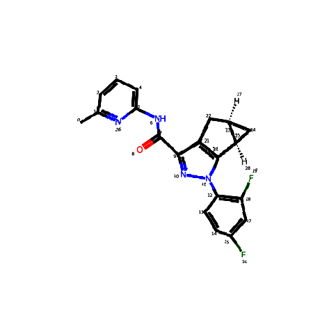 Cc1cccc(NC(=O)c2nn(-c3ccc(F)cc3F)c3c2C[C@H]2C[C@@H]32)n1